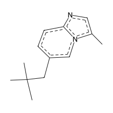 Cc1cnc2ccc(CC(C)(C)C)cn12